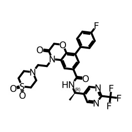 C[C@@H](NC(=O)c1cc(-c2ccc(F)cc2)c2c(c1)N(CCN1CCS(=O)(=O)CC1)C(=O)CO2)c1cnc(C(F)(F)F)nc1